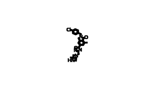 Cc1cc(-c2nc(CN3CC4(C)NCC34)no2)cc2c1C(=O)N(Cc1ccc(Cl)cc1)C2